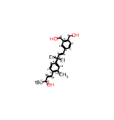 CCC(C=Cc1ccc(CO)c(CO)c1)(CC)c1ccc(C=CC(O)C(C)(C)C)c(C)c1